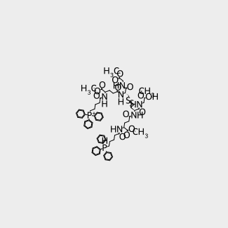 COC(=O)CNC(=O)[C@H](CSSC[C@H](NC(=O)CCC(NC(=O)CCCC[PH](c1ccccc1)(c1ccccc1)c1ccccc1)C(=O)OC)C(=O)NCC(O)OC)NC(=O)CCC(NC(=O)CCCC[P+](c1ccccc1)(c1ccccc1)c1ccccc1)C(=O)OC